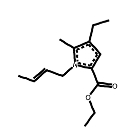 CC=CCn1c(C(=O)OCC)cc(CC)c1C